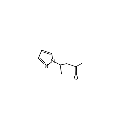 CC(=O)CC(C)n1cccn1